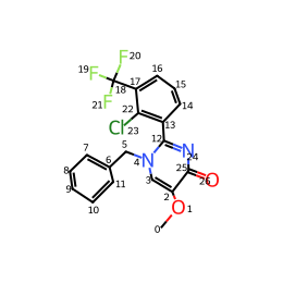 COc1cn(Cc2ccccc2)c(-c2cccc(C(F)(F)F)c2Cl)nc1=O